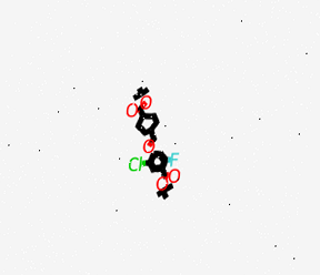 CC(C)(C)OC(=O)c1cc(Cl)c(OCC2CCC(C(=O)OC(C)(C)C)CC2)cc1F